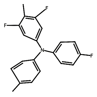 Cc1ccc(N(c2ccc(F)cc2)c2cc(F)c(C)c(F)c2)cc1